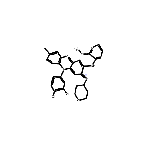 COc1ncccc1Nc1cc2nc3cc(F)ccc3n(-c3ccc(Cl)c(Cl)c3)c-2c/c1=N\C1CCOCC1